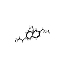 CCc1ccc2nc(CC=O)cc(C)c2c1